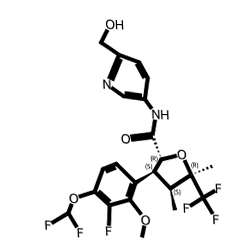 COc1c([C@H]2[C@H](C(=O)Nc3ccc(CO)nc3)O[C@@](C)(C(F)(F)F)[C@H]2C)ccc(OC(F)F)c1F